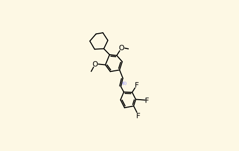 COc1cc(/C=C/c2ccc(F)c(F)c2F)cc(OC)c1C1CCCCC1